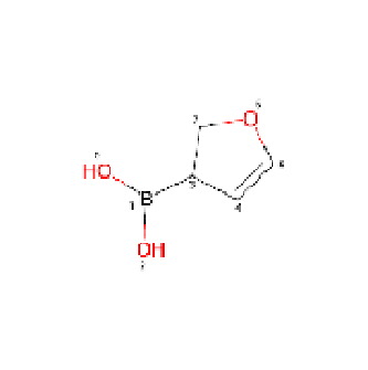 OB(O)C1C=COC1